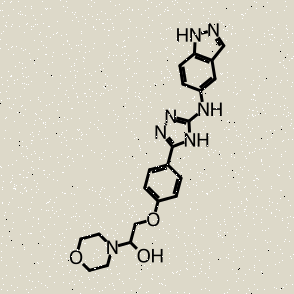 OC(COc1ccc(-c2nnc(Nc3ccc4[nH]ncc4c3)[nH]2)cc1)N1CCOCC1